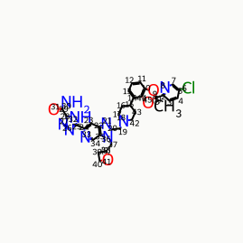 C[C@]1(c2ccc(Cl)cn2)Oc2cccc(C3CCN(Cc4nc5cc(-c6nnc(C(N)=O)[nH]6)ncc5n4C[C@@H]4CCO4)CC3)c2O1